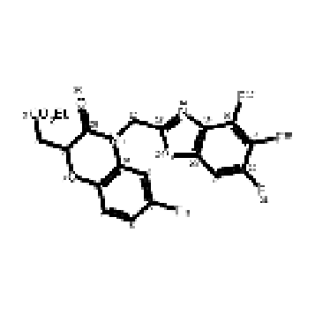 CCOC(=O)CC1Oc2ccc(F)cc2N(Cc2nc3c(F)c(F)c(F)cc3s2)C1=O